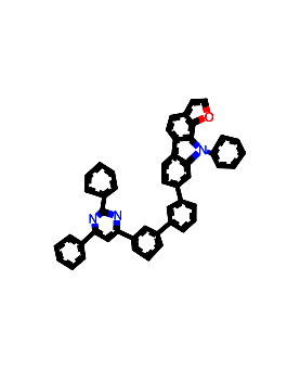 c1ccc(-c2cc(-c3cccc(-c4cccc(-c5ccc6c7ccc8ccoc8c7n(-c7ccccc7)c6c5)c4)c3)nc(-c3ccccc3)n2)cc1